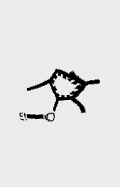 CCOc1c(C)ccc(C)c1C